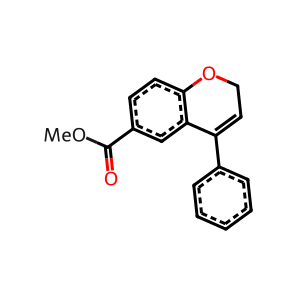 COC(=O)c1ccc2c(c1)C(c1ccccc1)=CCO2